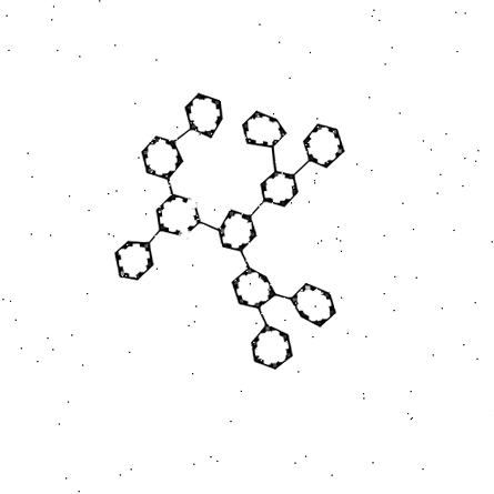 c1ccc(-c2cccc(-c3cc(-c4ccccc4)nc(-c4cc(-c5ccc(-c6ccccc6)c(-c6ccccc6)c5)cc(-c5ccc(-c6ccccc6)c(-c6ccccc6)c5)c4)n3)c2)cc1